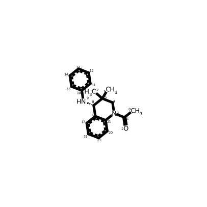 CC(=O)N1CC(C)(C)[C@@H](Nc2ccccc2)c2ccccc21